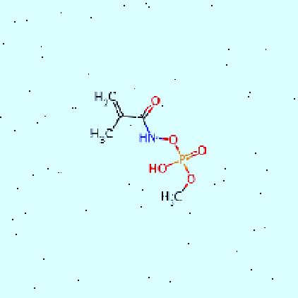 C=C(C)C(=O)NOP(=O)(O)OC